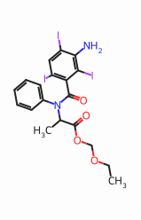 CCOCOC(=O)C(C)N(C(=O)c1c(I)cc(I)c(N)c1I)c1ccccc1